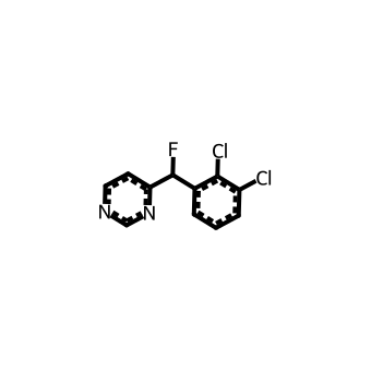 FC(c1ccncn1)c1cccc(Cl)c1Cl